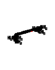 CCC(c1ccc(CCCCCCCCCCCCCCCCCc2ccc(C(CC)c3ccc(N)cc3C)cc2)cc1)c1ccc(N)cc1C